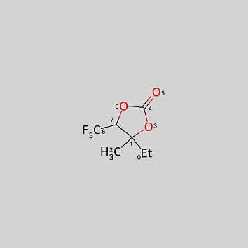 CCC1(C)OC(=O)OC1C(F)(F)F